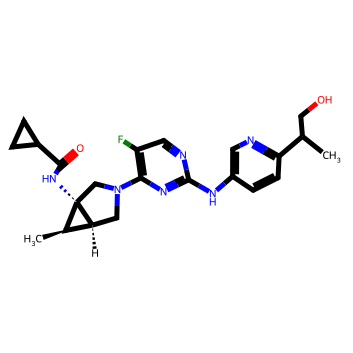 CC(CO)c1ccc(Nc2ncc(F)c(N3C[C@H]4[C@@H](C)[C@@]4(NC(=O)C4CC4)C3)n2)cn1